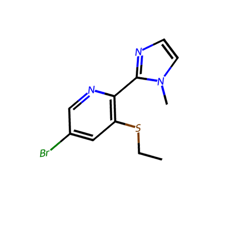 CCSc1cc(Br)cnc1-c1nccn1C